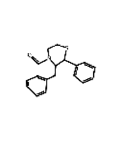 O=CN1CCSC(c2ccccc2)C1Cc1ccccc1